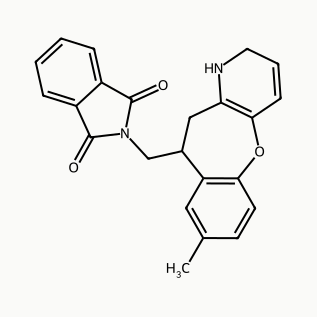 Cc1ccc2c(c1)C(CN1C(=O)c3ccccc3C1=O)CC1=C(C=CCN1)O2